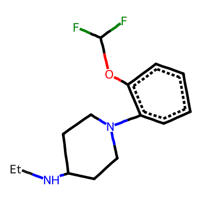 CCNC1CCN(c2ccccc2OC(F)F)CC1